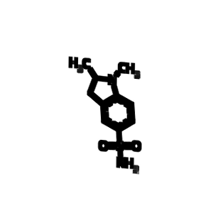 CC1Cc2cc(S(N)(=O)=O)ccc2N1C